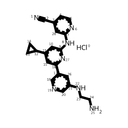 Cl.N#Cc1ccnc(Nc2cc(C3CC3)cc(-c3cncc(NCCN)c3)n2)c1